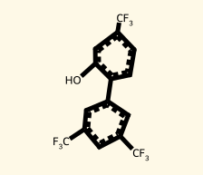 Oc1cc(C(F)(F)F)ccc1-c1cc(C(F)(F)F)cc(C(F)(F)F)c1